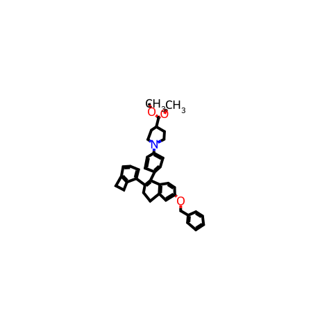 COC(OC)C1CCN(c2ccc(C3=C(c4cccc5c4CC5)CCc4cc(OCc5ccccc5)ccc43)cc2)CC1